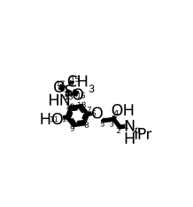 CC(C)NCC(O)COc1ccc(O)c(NS(C)(=O)=O)c1